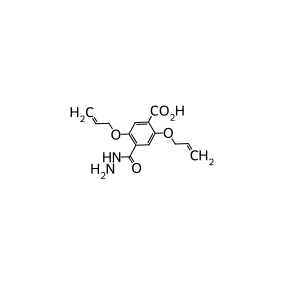 C=CCOc1cc(C(=O)NN)c(OCC=C)cc1C(=O)O